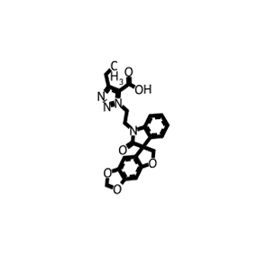 CCc1nnn(CCN2C(=O)C3(COc4cc5c(cc43)OCO5)c3ccccc32)c1C(=O)O